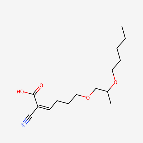 CCCCCOC(C)COCCCC=C(C#N)C(=O)O